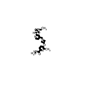 CCNS(=O)(=O)Nc1cc(CN2CC(Oc3ccc(C(=O)NC)nc3C)C2)ccn1